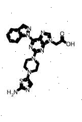 Nc1ncc(N2CCN(c3nc(-n4ncc5ccccc54)c4ncn(CC(=O)O)c4n3)CC2)s1